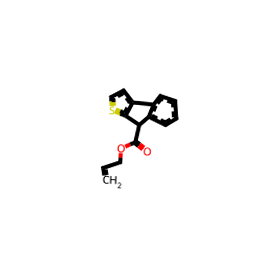 C=CCOC(=O)C1c2ccccc2-c2ccsc21